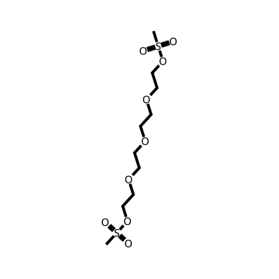 CS(=O)(=O)OCCOCCOCCOCCOS(C)(=O)=O